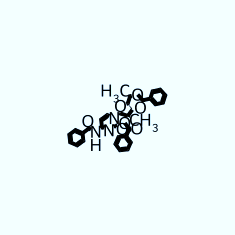 C[C@@H](OC(=O)c1ccccc1)[C@@H]1C[C@@](C)(OC(=O)c2ccccc2)[C@H](n2ccc(NC(=O)c3ccccc3)nc2=O)O1